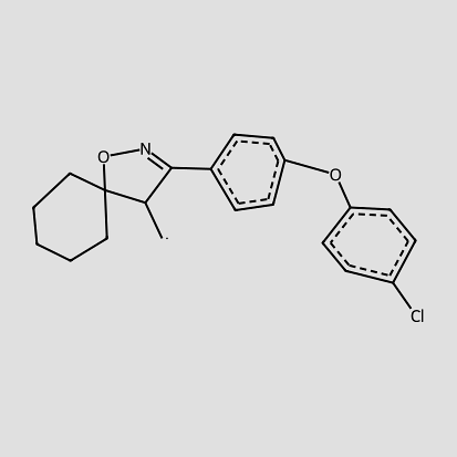 [CH2]C1C(c2ccc(Oc3ccc(Cl)cc3)cc2)=NOC12CCCCC2